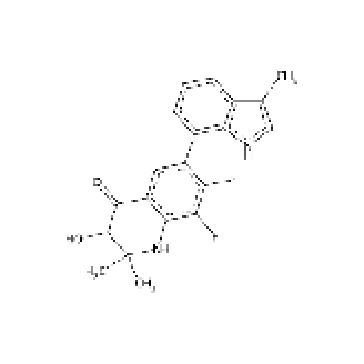 Cc1c[nH]c2c(-c3cc4c(c(F)c3F)NC(C)(C)C(O)C4=O)cccc12